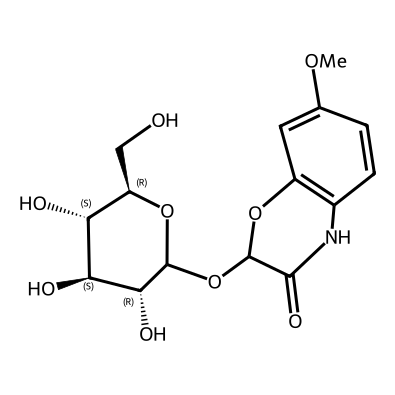 COc1ccc2c(c1)OC(OC1O[C@H](CO)[C@@H](O)[C@H](O)[C@H]1O)C(=O)N2